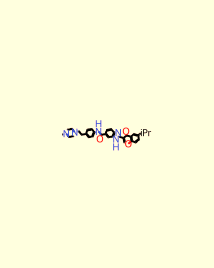 CC(C)c1ccc2occ(-c3nc4ccc(C(=O)Nc5ccc(CCN6CCN(C)CC6)cc5)cc4[nH]3)c(=O)c2c1